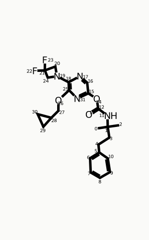 CC(C)(CCc1ccccc1)NC(=O)Oc1cnc(N2CC(F)(F)C2)c(OCC2CC2)n1